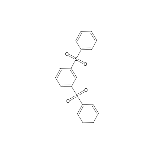 O=S(=O)(c1[c]ccc(S(=O)(=O)c2ccccc2)c1)c1ccccc1